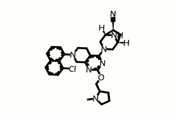 CN1CCCC1COc1nc2c(c(N3C[C@H]4C[C@H](C#N)[C@@H](C3)N4)n1)CCN(c1cccc3cccc(Cl)c13)C2